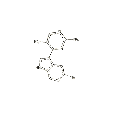 N#Cc1cnc(N)nc1-c1c[nH]c2ccc(Br)cc12